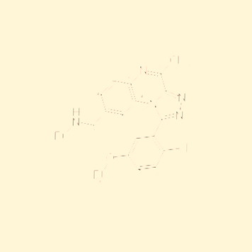 CCNCc1ccc2nc(C)c3nnc(-c4cc(OCC)ccc4Cl)n3c2c1